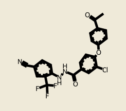 CC(=O)c1ccc(Oc2ccc(C(=O)NNc3ccc(C#N)cc3C(F)(F)F)cc2Cl)cc1